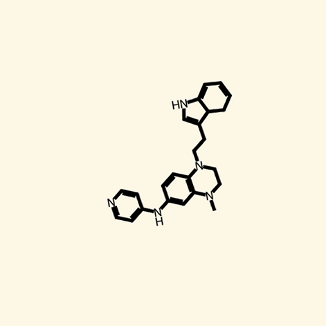 CN1CCN(CCC2=CNC3=CC=CCC23)c2ccc(Nc3ccncc3)cc21